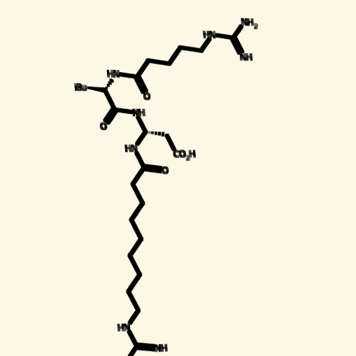 CC[C@H](C)[C@H](NC(=O)CCCCNC(=N)N)C(=O)N[C@H](CC(=O)O)NC(=O)CCCCCCCCNC(=N)N